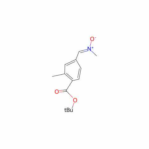 Cc1cc(/C=[N+](\C)[O-])ccc1C(=O)OC(C)(C)C